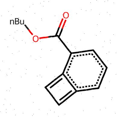 CCCCOC(=O)c1cccc2c1=CC=2